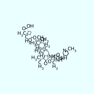 Cc1ccc(NC(=O)NC(C)(C)C(=O)N[C@@]23CC[C@]4(C)[C@H](CC[C@@H]5[C@@]6(C)CC[C@H](OC(=O)[C@H]7C[C@@H](C(=O)O)C7(C)C)C(C)(C)[C@@H]6CC[C@]54C)C2=C(C(C)C)C(=O)C3)cn1